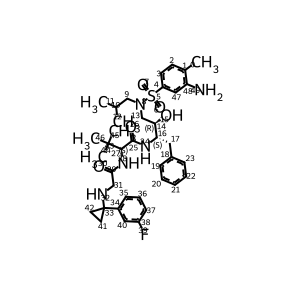 Cc1ccc(S(=O)(=O)N(CC(C)C)C[C@@H](O)[C@H](Cc2ccccc2)NC(=O)[C@@H](NC(=O)CNC2(c3cccc(F)c3)CC2)C(C)(C)C)cc1N